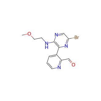 COCCNc1ncc(Br)nc1-c1cccnc1C=O